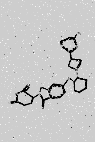 Cc1ccnc(C2CN([C@@H]3CCCC[C@H]3Oc3ccc4c(c3)CN(C3CCC(=O)NC3=O)C4=O)C2)n1